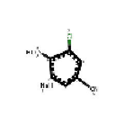 N#Cc1ccc(S(=O)(=O)O)c(Cl)c1.[NaH]